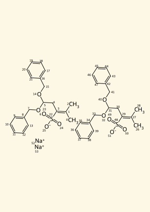 CC(C)=C(CC(OCc1ccccc1)OCc1ccccc1)S(=O)(=O)[O-].CC(C)=C(CC(OCc1ccccc1)OCc1ccccc1)S(=O)(=O)[O-].[Na+].[Na+]